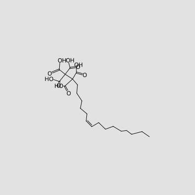 CCCCCCCC/C=C\CCCCCC(C(=O)O)(C(=O)O)C(C(=O)O)(C(=O)O)C(=O)O